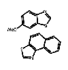 COc1ccc2ncsc2c1.c1ccc2c(c1)ccc1scnc12